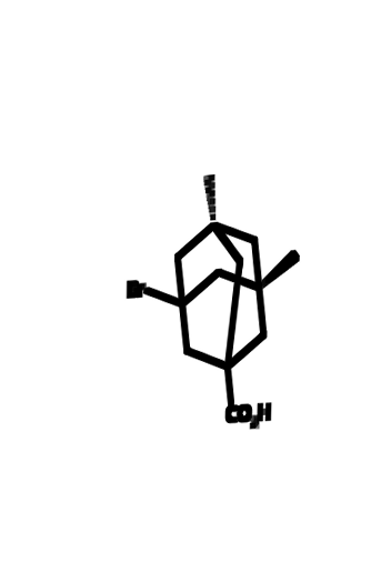 C[C@]12CC3(Br)CC(C(=O)O)(C1)C[C@@](C)(C3)C2